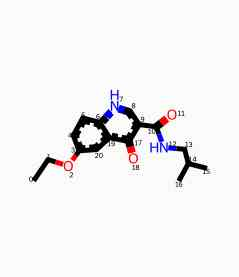 CCOc1ccc2[nH]cc(C(=O)NCC(C)C)c(=O)c2c1